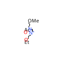 CC(=O)[O-].CCOCCC[n+]1ccn(CCCOC)c1